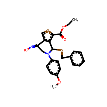 CCOC(=O)c1scc2c1C(SCc1ccccc1)N(c1ccc(OC)cc1)CC2=NO